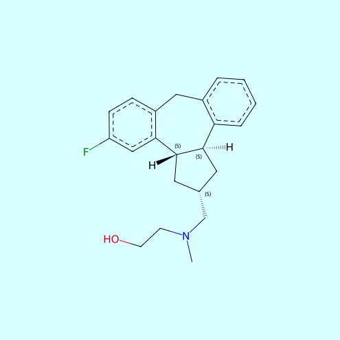 CN(CCO)C[C@H]1C[C@@H]2c3ccccc3Cc3ccc(F)cc3[C@H]2C1